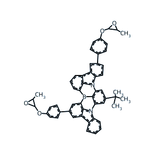 CC1OC1Oc1ccc(-c2ccc3c(c2)c2cccc4c2n3-c2cc(C(C)(C)C)cc3c2B4c2cc(-c4ccc(OC5OC5C)cc4)cc4c5ccccc5n-3c24)cc1